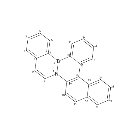 C1=CN2B(c3ccccc31)c1ccccc1-c1c2ccc2ccccc12